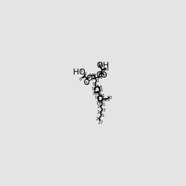 C=C(CO)C(=O)OCC(CC)(CCc1ccc(-c2ccc(CCCCCCC)c(CC)c2)cc1)COC(=O)C(=C)CO